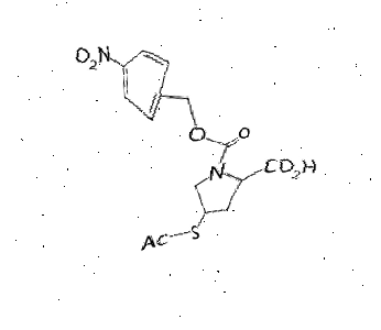 CC(=O)SC1CC(C(=O)O)N(C(=O)OCc2ccc([N+](=O)[O-])cc2)C1